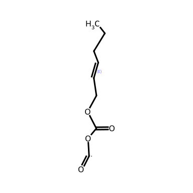 CCC/C=C/COC(=O)O[C]=O